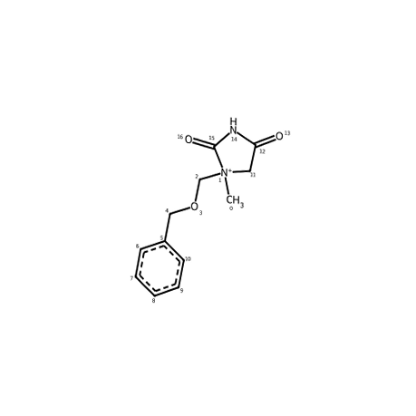 C[N+]1(COCc2ccccc2)CC(=O)NC1=O